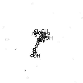 Cc1ncsc1-c1ccc([C@H](C)NC(=O)[C@@H]2C[C@@H](O)CN2C(=O)[C@H](C2CC2)n2cc(N3CC4(CN(c5ccc6cc(-c7ccccc7O)nnc6c5)C4)C3)nn2)cc1